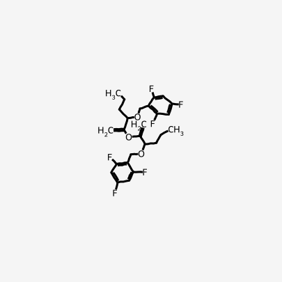 C=C(OC(=C)C(CCC)OCc1c(F)cc(F)cc1F)C(CCC)OCc1c(F)cc(F)cc1F